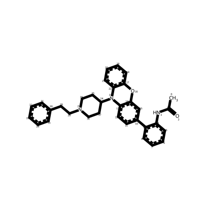 CC(=O)Nc1ccccc1-c1ccc2c(c1)Oc1ccccc1N2C1CCN(CCc2ccccc2)CC1